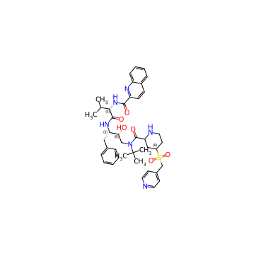 CC(C)[C@H](NC(=O)c1ccc2ccccc2n1)C(=O)N[C@@H](Cc1ccccc1)[C@H](O)CN(C(=O)C1C[C@H](S(=O)(=O)Cc2ccncc2)CCN1)C(C)(C)C